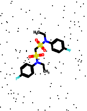 CCN(c1ccc(F)cc1)S(=O)(=O)CS(=O)(=O)N(CC)c1ccc(F)cc1